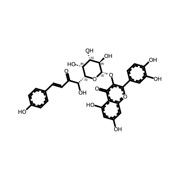 O=C(C=Cc1ccc(O)cc1)C(O)[C@H]1O[C@@H](Oc2c(-c3ccc(O)c(O)c3)oc3cc(O)cc(O)c3c2=O)[C@H](O)[C@@H](O)[C@H]1O